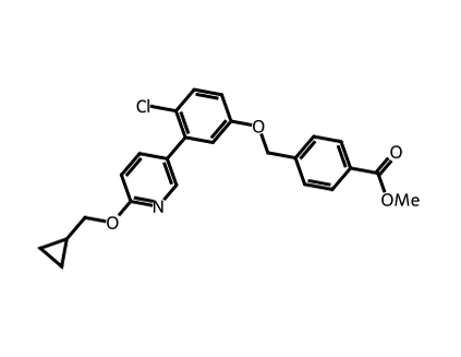 COC(=O)c1ccc(COc2ccc(Cl)c(-c3ccc(OCC4CC4)nc3)c2)cc1